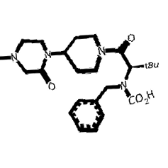 CN1CCN(C2CCN(C(=O)[C@H](N(Cc3ccccc3)C(=O)O)C(C)(C)C)CC2)C(=O)C1